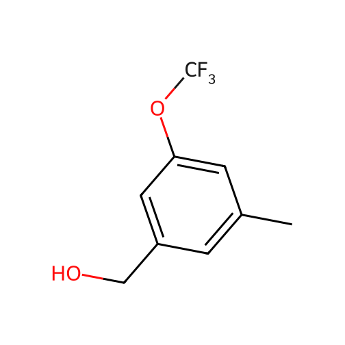 Cc1cc(CO)cc(OC(F)(F)F)c1